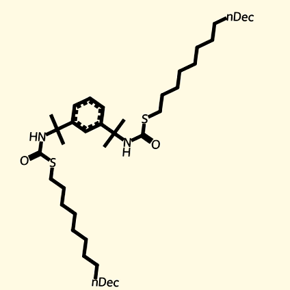 CCCCCCCCCCCCCCCCCCSC(=O)NC(C)(C)c1cccc(C(C)(C)NC(=O)SCCCCCCCCCCCCCCCCCC)c1